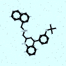 CC(C)(C)Oc1cccc(C2CC(CNCc3cccc4ccccc34)Oc3ccccc32)c1